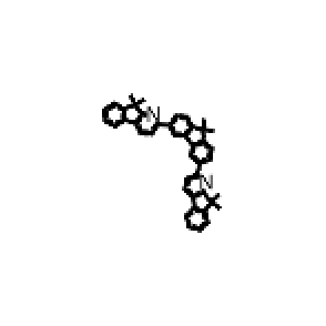 CC1(C)c2ccc(-c3ccc4c(n3)C(C)(C)c3ccccc3-4)cc2-c2cc(-c3ccc4c(n3)C(C)(C)c3ccccc3-4)ccc21